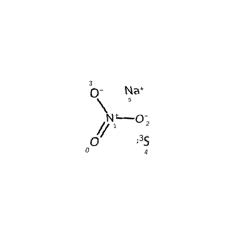 O=[N+]([O-])[O-].[3S].[Na+]